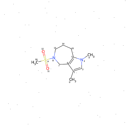 Cc1cn(C)c2c1CN(S(C)(=O)=O)CCC2